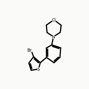 Brc1ccsc1-c1cccc(N2CCOCC2)c1